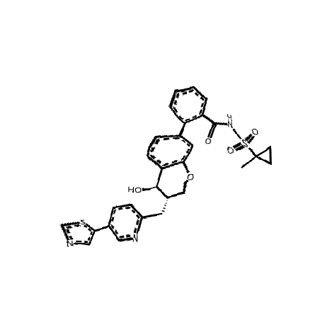 CC1(S(=O)(=O)NC(=O)c2ccccc2-c2ccc3c(c2)OC[C@H](Cc2ccc(-c4cncs4)cn2)[C@H]3O)CC1